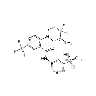 C[C@H]1CN(c2ccc(C(F)(F)F)cc2C(=O)Nc2ccnc([S@](C)(=N)=O)c2)CCC1(F)F